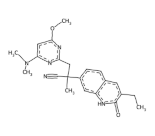 CCc1cc2ccc(C(C)(C#N)Cc3nc(OC)cc(N(C)C)n3)cc2[nH]c1=O